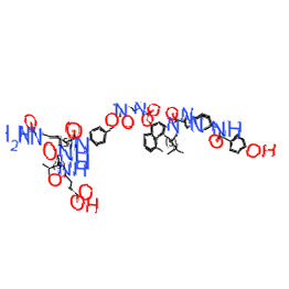 Cc1cccc2c(OC(=O)N(C)CCN(C)C(=O)OCc3ccc(NC(=O)[C@H](CCCNC(N)=O)NC(=O)[C@@H](NC(=O)CCC(=O)O)C(C)C)cc3)cc3c(c12)[C@H](C(C)C)CN3C(=O)c1cn2cc(NC(=O)c3ccc(O)cc3)ccc2n1